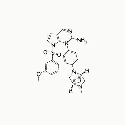 COc1cccc(S(=O)(=O)n2ccc3c2N(c2ccc(N4C[C@@H]5C[C@H]4CN5C)cc2)C(N)N=C3)c1